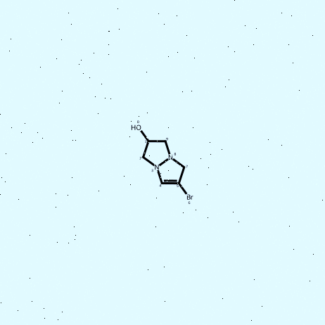 OC1CN2C=C(Br)CN2C1